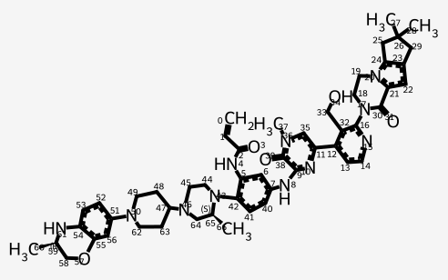 C=CC(=O)Nc1cc(Nc2nc(-c3ccnc(N4CCn5c(cc6c5CC(C)(C)C6)C4=O)c3CO)cn(C)c2=O)ccc1N1CCN(C2CCN(c3ccc4c(c3)OC[C@@H](C)N4)CC2)C[C@@H]1C